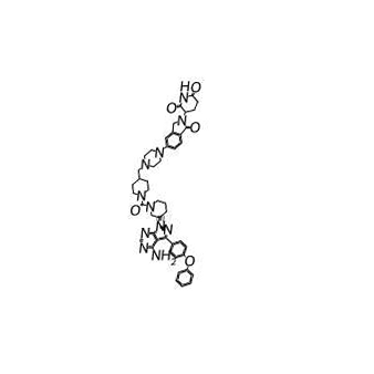 Nc1ncnc2c1c(-c1ccc(Oc3ccccc3)cc1)nn2[C@@H]1CCCN(C(=O)N2CCC(CN3CCN(c4ccc5c(c4)CN(C4CCC(=O)NC4=O)C5=O)CC3)CC2)C1